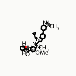 COc1cc(C(=O)N2C[C@H]3CC[C@@H]2[C@@H]3N)cc2nc(-c3cc4ccc(-c5ccc6nnn(C)c6c5)cc4n3CC3CC3)n(C)c12